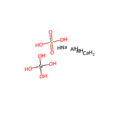 O=S(=O)(O)O.O[Si](O)(O)O.[AlH3].[CaH2].[KH].[NaH]